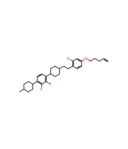 C=CCCCOc1ccc(CCC2CCC(c3ccc(C4CCC(C)CC4)c(F)c3F)CC2)c(F)c1